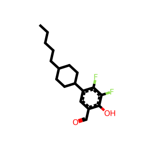 CCCCCC1CCC(c2cc(C=O)c(O)c(F)c2F)CC1